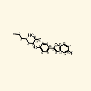 CCCCCC(Oc1ccc(-c2cc3cc(F)ccc3o2)cc1)C(=O)O